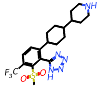 CS(=O)(=O)c1c(C(F)(F)F)ccc(C2CCC(C3CCNCC3)CC2)c1-c1nnn[nH]1